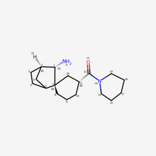 N[C@H]1[C@@H]2CCC(C2)[C@]12CCC[C@@H](C(=O)N1CCCCC1)C2